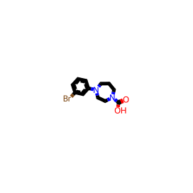 O=C(O)N1CCCN(c2cccc(Br)c2)CC1